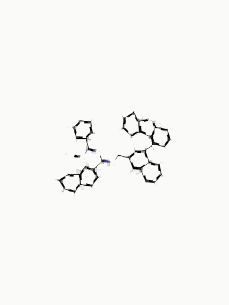 C=N/C(=N\C(=N/Cc1cc(-c2cccc3oc4ccccc4c23)c2ccccc2c1)c1ccc2ccccc2c1)c1ccccc1